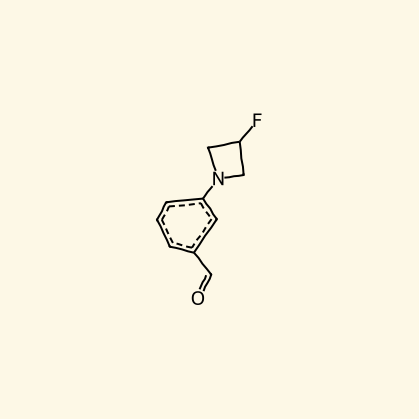 O=Cc1cccc(N2CC(F)C2)c1